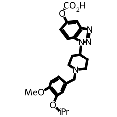 COc1ccc(CN2CCC(n3nnc4cc(OC(=O)O)ccc43)CC2)cc1OC(C)C